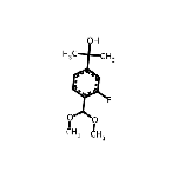 COC(OC)c1ccc(C(C)(C)O)cc1F